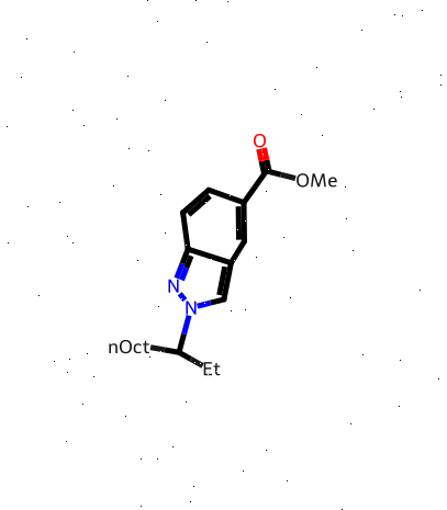 CCCCCCCCC(CC)n1cc2cc(C(=O)OC)ccc2n1